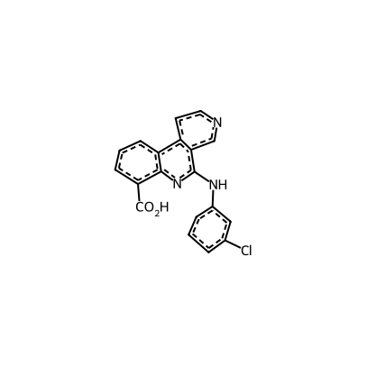 O=C(O)c1cccc2c1nc(Nc1cccc(Cl)c1)c1cnccc12